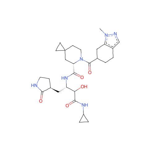 Cn1ncc2c1CC(C(=O)N1CCC3(CC3)C[C@H]1C(=O)N[C@@H](C[C@@H]1CCNC1=O)C(O)C(=O)NC1CC1)CC2